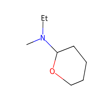 CCN(C)C1CCCCO1